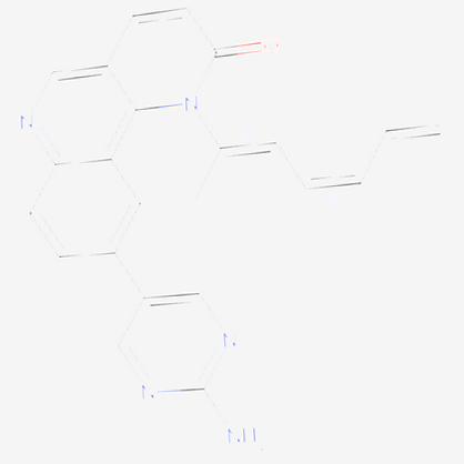 C=C/C=C\C=C(/C)n1c(=O)ccc2cnc3ccc(-c4cnc(N)nc4)cc3c21